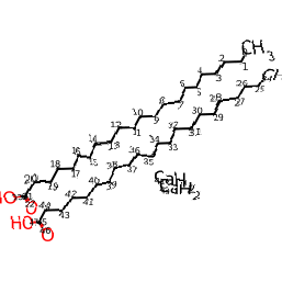 CCCCCCCCCCCCCCCCCCCCCC(=O)O.CCCCCCCCCCCCCCCCCCCCCC(=O)O.[CaH2].[CaH2]